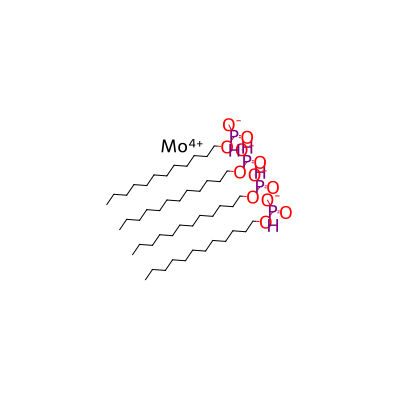 CCCCCCCCCCCCO[PH](=O)[O-].CCCCCCCCCCCCO[PH](=O)[O-].CCCCCCCCCCCCO[PH](=O)[O-].CCCCCCCCCCCCO[PH](=O)[O-].[Mo+4]